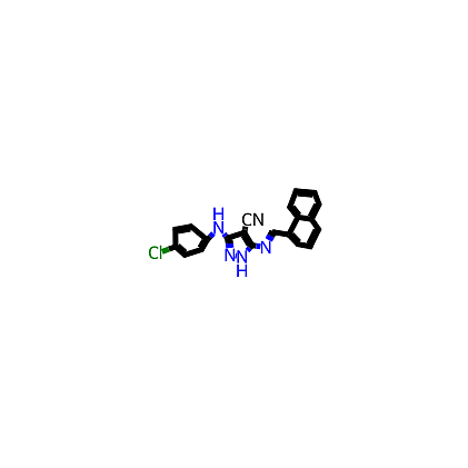 N#Cc1c(Nc2ccc(Cl)cc2)n[nH]c1/N=C/c1cccc2ccccc12